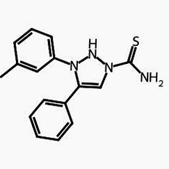 Cc1cccc(N2NN(C(N)=S)C=C2c2ccccc2)c1